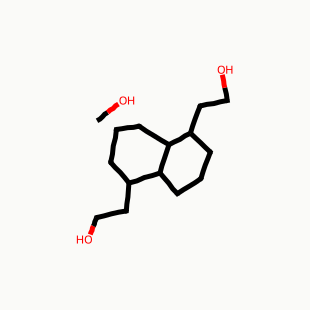 CO.OCCC1CCCC2C(CCO)CCCC12